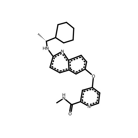 CNC(=O)c1cc(Oc2ccc3nc(N[C@H](C)C4CCCCC4)ccc3c2)ccn1